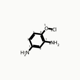 Nc1ccc(OCl)c(N)c1